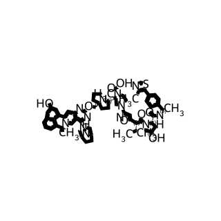 CCc1cccc2cc(O)cc(-c3cc4nc(OC[C@]56CCCN5[C@H](C5(C)CN(c7cc([C@H](C(=O)N8C[C@H](O)C[C@H]8C(=O)N[C@@H](C)c8ccc(-c9scnc9C)cc8)C(C)C)on7)CCN5C(=O)O)CC6)nc(N5CC6CCC(C5)N6)c4cn3)c12